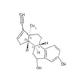 C#CC1=CC[C@H]2[C@@H]3CC(O)c4cc(O)ccc4[C@H]3CC[C@]12C